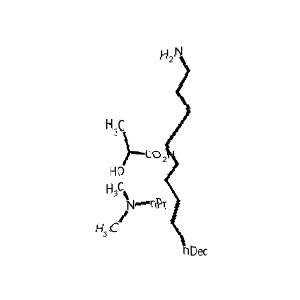 CC(O)C(=O)O.CCCCCCCCCCCCCCCCCCN.CCCN(C)C